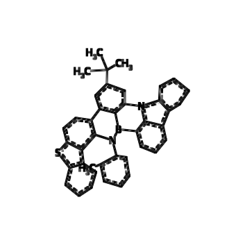 Cc1ccccc1N1B2c3c(cc(C(C)(C)C)cc3-n3c4ccccc4c4cccc2c43)-c2ccc3sc4ccccc4c3c21